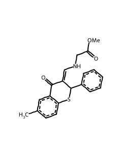 COC(=O)CNC=C1C(=O)c2cc(C)ccc2SC1c1ccccc1